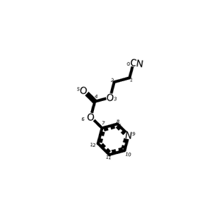 N#CCCOC(=O)Oc1[c]nccc1